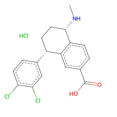 CN[C@H]1CC[C@@H](c2ccc(Cl)c(Cl)c2)c2cc(C(=O)O)ccc21.Cl